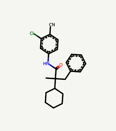 CC(Cc1ccccc1)(C(=O)Nc1ccc(C#N)c(Cl)c1)C1CCCCC1